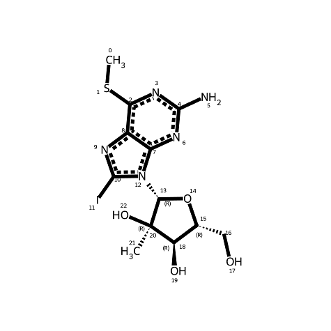 CSc1nc(N)nc2c1nc(I)n2[C@@H]1O[C@H](CO)[C@@H](O)[C@@]1(C)O